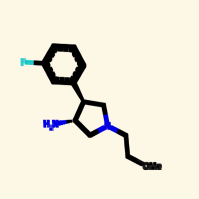 COCCN1C[C@H](c2cccc(F)c2)[C@@H](N)C1